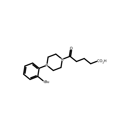 CC(C)(C)c1ccccc1N1CCN(C(=O)CCCC(=O)O)CC1